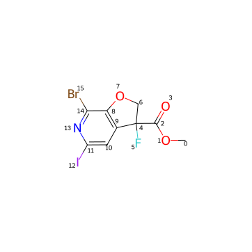 COC(=O)C1(F)COc2c1cc(I)nc2Br